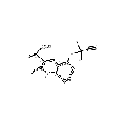 C#CC(C)(C)Oc1cccc2oc(=O)c(C(=C)C(=O)OCC)cc12